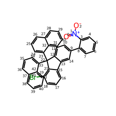 O=[N+]([O-])c1ccccc1-c1ccc2c(c1)-c1cccc(Br)c1C2(c1cccc2ccccc12)c1cccc2ccccc12